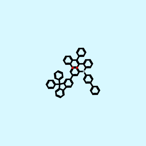 c1ccc(-c2ccc(N(c3cccc(-c4ccc5c(c4)C(c4ccccc4)(c4ccccc4)c4ccccc4-5)c3)c3ccccc3-c3ccc4ccccc4c3-c3ccccc3)cc2)cc1